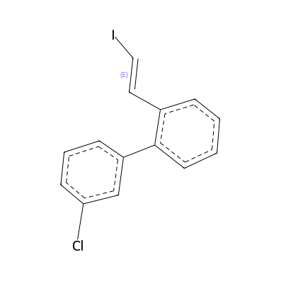 Clc1cccc(-c2ccccc2/C=C/I)c1